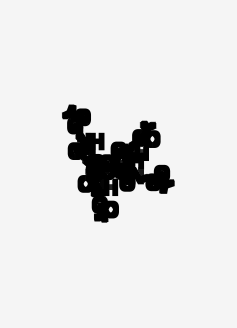 C=C(C)C(=O)OCCNC(=O)OCC(COC(=O)NCCOC(=O)C(=C)C)OP(=O)(O)OC(COC(=O)NCCOC(=O)C(=C)C)COC(=O)NCCOC(=O)C(=C)C